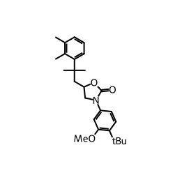 COc1cc(N2CC(CC(C)(C)c3cccc(C)c3C)OC2=O)ccc1C(C)(C)C